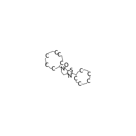 O=C1c2sc(C3CCCCCCCCCCCC3)nc2CCN1C1CCCCCCCCCCCCCC1